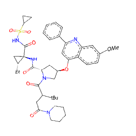 CC[C@@H]1C[C@]1(NC(=O)[C@@H]1C[C@@H](Oc2cc(-c3ccccc3)nc3cc(OC)ccc23)CN1C(=O)C(CC(=O)N1CCCCC1)C(C)(C)C)C(=O)NS(=O)(=O)C1CC1